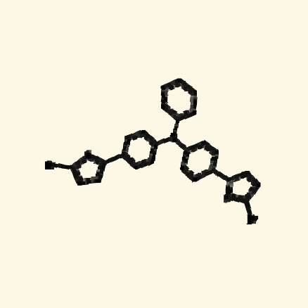 Brc1ccc(-c2ccc(N(c3ccccc3)c3ccc(-c4ccc(Br)s4)cc3)cc2)s1